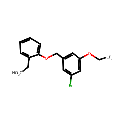 O=C(O)Cc1ccccc1OCc1cc(Br)cc(OCC(F)(F)F)c1